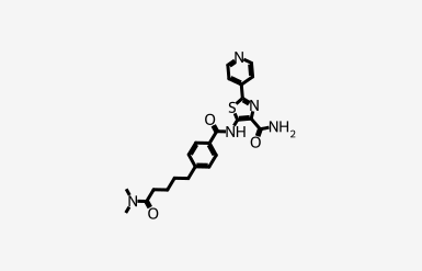 CN(C)C(=O)CCCCc1ccc(C(=O)Nc2sc(-c3ccncc3)nc2C(N)=O)cc1